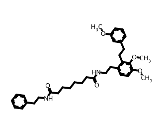 COc1cccc(CCc2c(CCNC(=O)CCCCCCC(=O)NCCc3ccccc3)ccc(OC)c2OC)c1